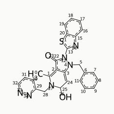 CC1=c2c(n(Cc3ccccc3)n(-c3nc4ccccc4s3)c2=O)=CC(O)N1Cc1cccnn1